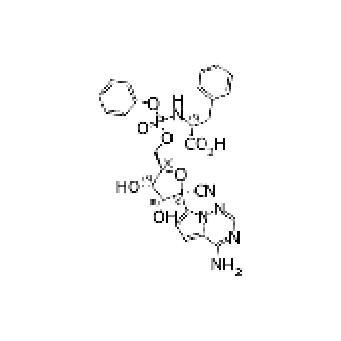 N#C[C@@]1(c2ccc3c(N)ncnn23)O[C@H](COP(=O)(N[C@@H](Cc2ccccc2)C(=O)O)Oc2ccccc2)[C@@H](O)[C@H]1O